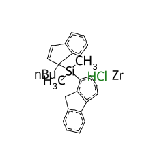 CCCCC1([Si](C)(C)c2cccc3c2Cc2ccccc2-3)C=Cc2ccccc21.Cl.[Zr]